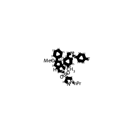 CCCn1cc(S(=O)(=O)N2C[C@@H]3C[C@](OC)(c4ccccc4)C[C@]3(c3cc4cnn(-c5ccc(F)cc5)c4cc3C)C2)cn1